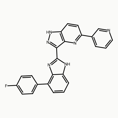 Fc1ccc(-c2cccc3[nH]c(-c4n[nH]c5ccc(-c6cccnc6)nc45)nc23)cc1